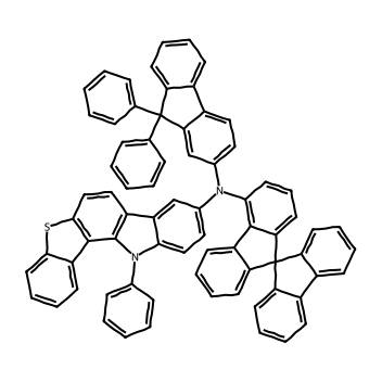 c1ccc(-n2c3ccc(N(c4ccc5c(c4)C(c4ccccc4)(c4ccccc4)c4ccccc4-5)c4cccc5c4-c4ccccc4C54c5ccccc5-c5ccccc54)cc3c3ccc4sc5ccccc5c4c32)cc1